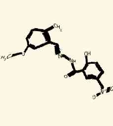 COc1ccc(C)c(/C=N/NC(=O)c2cc([N+](=O)[O-])ccc2O)c1